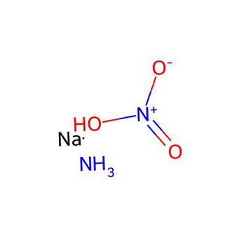 N.O=[N+]([O-])O.[Na]